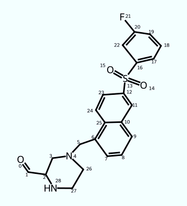 O=CC1CN(Cc2cccc3cc(S(=O)(=O)c4cccc(F)c4)ccc23)CCN1